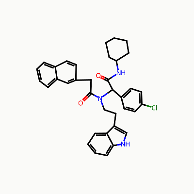 O=C(NC1CCCCC1)C(c1ccc(Cl)cc1)N(CCc1c[nH]c2ccccc12)C(=O)Cc1ccc2ccccc2c1